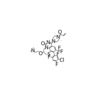 C=CC(=O)N1[C@H](C)CN(c2nc(=O)n3c4c(c(-c5cc(Cl)c(F)cc5F)c(C(F)(F)F)cc24)SC[C@@H](OCCN(C)C)C3)C[C@@H]1C